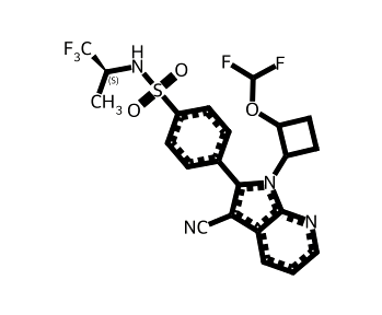 C[C@H](NS(=O)(=O)c1ccc(-c2c(C#N)c3cccnc3n2C2CCC2OC(F)F)cc1)C(F)(F)F